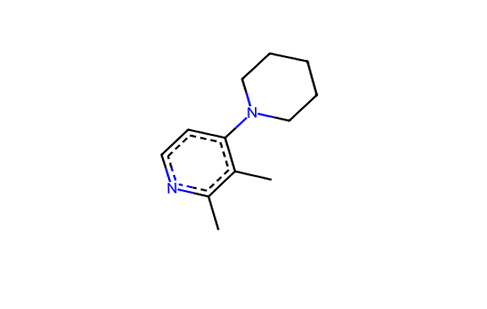 Cc1nccc(N2CCCCC2)c1C